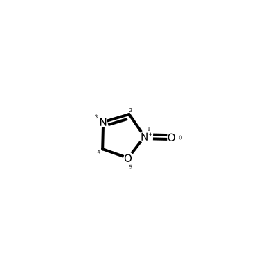 O=[N+]1[C]=NCO1